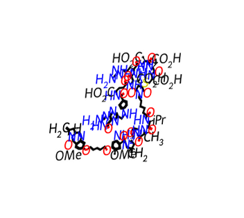 C=C1C[C@H]2C=Nc3cc(OCCCCCOc4cc(N)c(C(=O)N5CC(=C)C[C@H]5C5OCCN5C(=O)[C@H](C)NC(=O)[C@@H](NC(=O)CCCCCN5C(=O)CC(SC[C@H](NC(=O)[C@H](CC(=O)O)NC(=O)[C@H](CC(=O)O)NC(=O)[C@H](CCCNC(=N)N)NC(=O)[C@H](CC(=O)O)NC(=O)CC[C@H](NC(=O)c6ccc(NCc7cnc8nc(N)[nH]c(=O)c8n7)cc6)C(=O)O)C(=O)O)C5=O)C(C)C)cc4OC)c(OC)cc3C(=O)N2C1